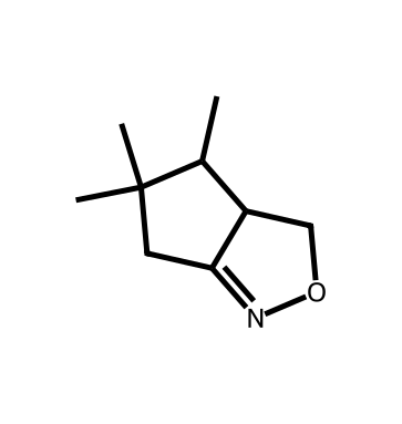 CC1C2CON=C2CC1(C)C